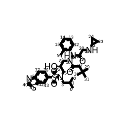 CC(C)CN(C[C@@H](O)[C@H](Cc1ccccc1)N(NC(=O)CNC1CC1)C(=O)CC(C)(C)C)S(=O)(=O)c1ccc2ncsc2c1